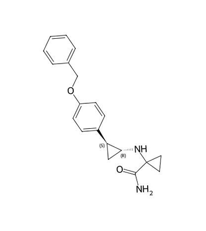 NC(=O)C1(N[C@@H]2C[C@H]2c2ccc(OCc3ccccc3)cc2)CC1